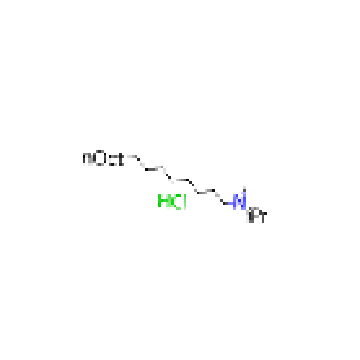 CCCCCCCCCCCCCCCCN(C)C(C)C.Cl